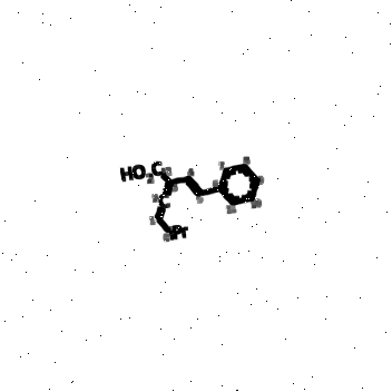 CC(C)C=C=C(C=Cc1ccccc1)C(=O)O